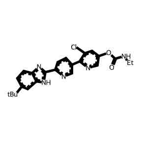 CCNC(=O)Oc1cnc(-c2ccc(-c3nc4ccc(C(C)(C)C)cc4[nH]3)nc2)c(Cl)c1